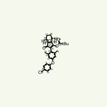 Cc1cc(Oc2ccc(Cl)cc2)cc(C)c1C1=C(OC(=O)C(C)(C)C)[C@H]2[C@@H](C1=O)[C@@H]1CC[C@H]2O1